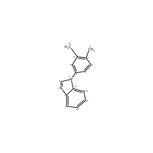 [CH2]c1ccc(-n2cnc3cccnc32)cc1C